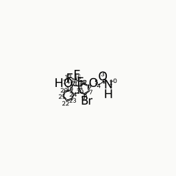 CNC(=O)COc1cc(Br)c2c(c1)C(O)(C(F)(F)F)c1ccccc1-2